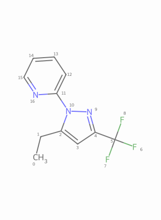 CCc1cc(C(F)(F)F)nn1-c1ccccn1